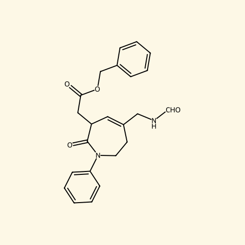 O=CNCC1=CC(CC(=O)OCc2ccccc2)C(=O)N(c2ccccc2)CC1